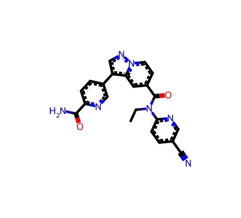 CCN(C(=O)c1ccn2ncc(-c3ccc(C(N)=O)nc3)c2c1)c1ccc(C#N)cn1